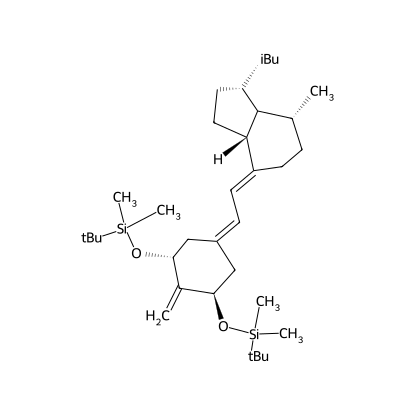 C=C1[C@H](O[Si](C)(C)C(C)(C)C)CC(=C/C=C2\CC[C@@H](C)C3[C@H]2CC[C@@H]3[C@@H](C)CC)C[C@H]1O[Si](C)(C)C(C)(C)C